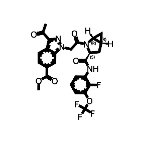 COC(=O)c1ccc2c(C(C)=O)nn(CC(=O)N3[C@@H]4C[C@@H]4C[C@H]3C(=O)Nc3cccc(OC(F)(F)F)c3F)c2c1